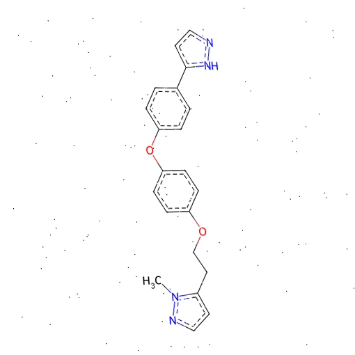 Cn1nccc1CCOc1ccc(Oc2ccc(-c3ccn[nH]3)cc2)cc1